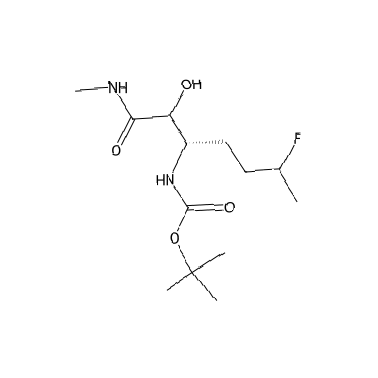 CNC(=O)C(O)[C@H](CCC(C)F)NC(=O)OC(C)(C)C